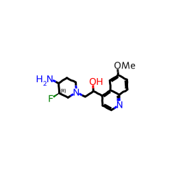 COc1ccc2nccc(C(O)CN3CCC(N)[C@H](F)C3)c2c1